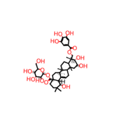 CC1(C)CC[C@]2(C(=O)O[C@@H]3OC(CO)[C@@H](O)C(O)[C@@H]3O)CC[C@]3(C)C(=CCC4[C@@]5(C)C[C@@H](O)[C@@H](O)[C@@](C)(COC(=O)c6cc(O)c(O)c(O)c6)C5CC[C@]43C)[C@@H]2[C@@H]1O